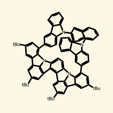 CC(C)(C)c1cc(-c2ccc3c(c2)c2ccccc2n3-c2ccccc2)c2c(c1)c1cc(C(C)(C)C)cc3c4c5c6cc(C(C)(C)C)cc7c8cc(C(C)(C)C)cc(-c9ccc%10c(c9)c9ccccc9n%10-c9ccccc9)c8n(c5ccc4n2c13)c76